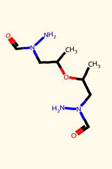 CC(CN(N)C=O)OC(C)CN(N)C=O